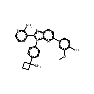 COc1cc(-c2ccc3nc(-c4cccnc4N)n(-c4ccc(C5(N)CCC5)cc4)c3n2)ccc1O